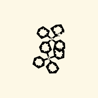 c1ccc(S(c2ccccc2)(c2ccccc2)c2cccc(S(c3ccccc3)(c3ccccc3)c3ccccc3)c2)cc1